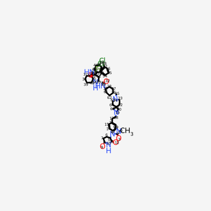 Cn1c(=O)n(C2CCC(=O)NC2=O)c2ccc(CCN3CC4(CCN(C[C@H]5CC[C@H](NC(=O)[C@@H]6NC7(CCCCC7)[C@@]7(C(=O)Nc8cc(Cl)ccc87)[C@H]6c6cccc(Cl)c6F)CC5)CC4)C3)cc21